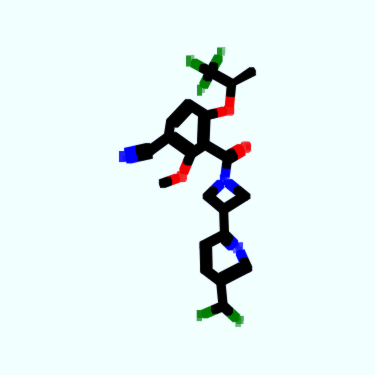 COc1c(C#N)ccc(O[C@H](C)C(F)(F)F)c1C(=O)N1CC(c2ccc(C(F)F)cn2)C1